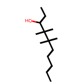 CCCCCC(C)(C)C(C)(C)C(O)CC